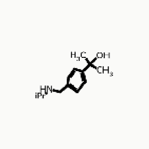 CC(C)NCc1ccc(C(C)(C)O)cc1